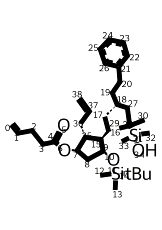 C=CCCC(=O)O[C@H]1C[C@@H](O[Si](C)(C)C(C)(C)C)[C@H](CC[C@H](CCc2ccccc2)CC(C)(C)[Si](C)(C)O)[C@H]1CC=C